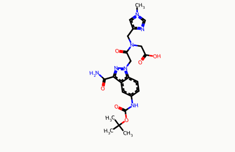 Cn1cnc(CN(CC(=O)O)C(=O)Cn2nc(C(N)=O)c3cc(NC(=O)OC(C)(C)C)ccc32)c1